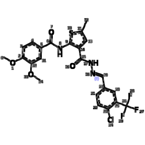 COc1ccc(C(=O)Nc2sc(C)cc2C(=O)N/N=C/c2ccc(Cl)c(C(F)(F)F)c2)cc1OC